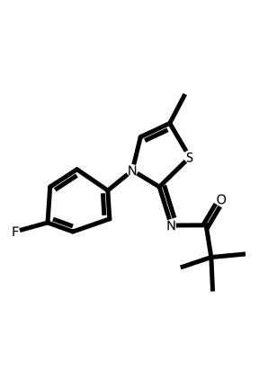 Cc1cn(-c2ccc(F)cc2)c(=NC(=O)C(C)(C)C)s1